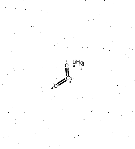 [LiH].[Ni].[O]=[Co]=[O]